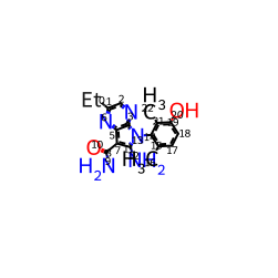 CCc1cnc2c(n1)c(C(N)=O)c(N)n2-c1c(C)ccc(O)c1C